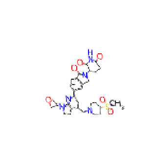 CS(=O)(=O)C1CCN(Cc2cc(-c3ccc4c(c3)CN(C3CCC(=O)NC3=O)C4=O)nc3c2ccn3C2COC2)CC1